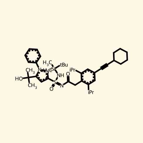 CC(C)c1cc(C#CC2CCCCC2)cc(C(C)C)c1CC(=O)N=S(=O)(N[Si](C)(C)C(C)(C)C)c1cc(C(C)(C)O)n(-c2ccccc2)n1